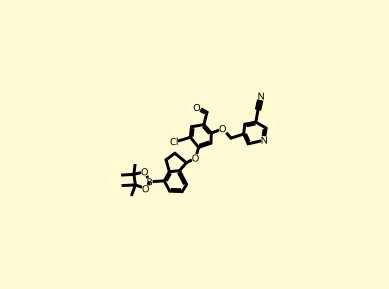 CC1(C)OB(c2cccc3c2CCC3Oc2cc(OCc3cncc(C#N)c3)c(C=O)cc2Cl)OC1(C)C